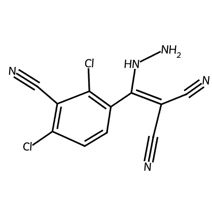 N#CC(C#N)=C(NN)c1ccc(Cl)c(C#N)c1Cl